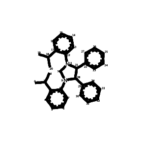 CC(C)c1ccccc1N1CN(c2ccccc2C(C)C)C(c2ccccc2)C1c1ccccc1